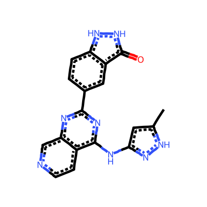 Cc1cc(Nc2nc(-c3ccc4[nH][nH]c(=O)c4c3)nc3cnccc23)n[nH]1